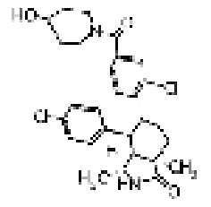 C[C@H]1NC(=O)[C@]2(C)CC[C@@H](c3ccc(C(=O)N4CCC(O)CC4)cc3Cl)[C@H](c3ccc(Cl)cc3)[C@H]12